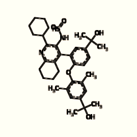 Cc1cc(C(C)(C)O)cc(C)c1Oc1ccc(C(C)(C)O)cc1-c1c2c(nc(C3CCCCC3)c1N[SH](=O)=O)CCCC2